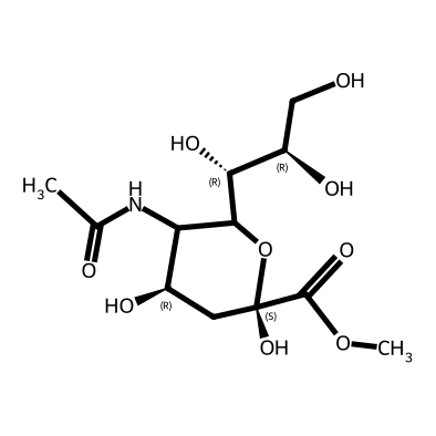 COC(=O)[C@]1(O)C[C@@H](O)C(NC(C)=O)C([C@H](O)[C@H](O)CO)O1